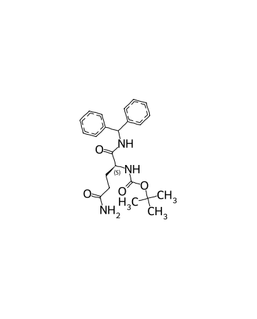 CC(C)(C)OC(=O)N[C@@H](CCC(N)=O)C(=O)NC(c1ccccc1)c1ccccc1